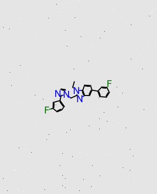 CCn1c(Cn2ccnc2-c2cccc(F)c2)nc2cc(-c3cccc(F)c3)ccc21